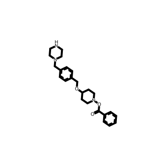 O=C(ON1CCC(OCc2ccc(CN3CCNCC3)cc2)CC1)c1ccccc1